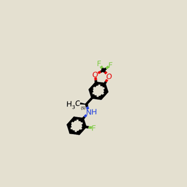 C[C@H](Nc1ccccc1F)c1ccc2c(c1)OC(F)(F)O2